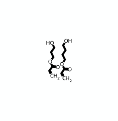 C=CC(=O)OCCCCO.C=CC(=O)OCCCO